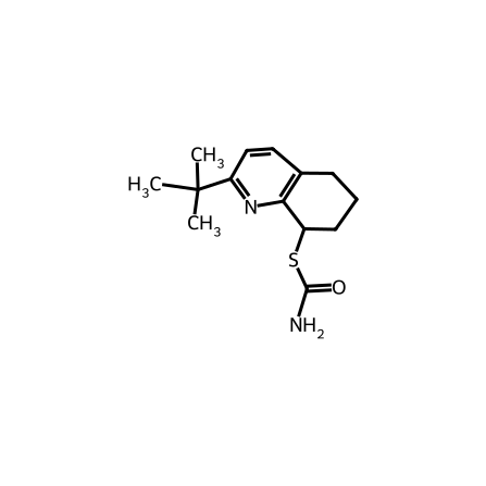 CC(C)(C)c1ccc2c(n1)C(SC(N)=O)CCC2